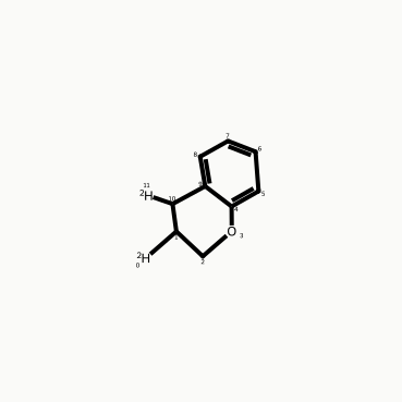 [2H]C1COc2ccccc2C1[2H]